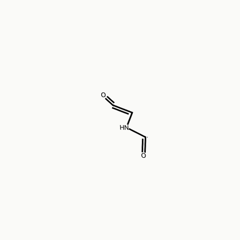 O=[C]NC=C=O